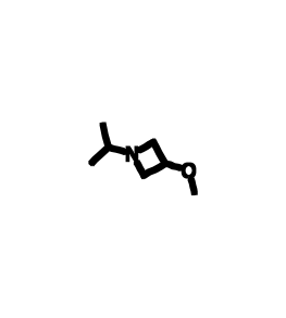 COC1CN(C(C)C)C1